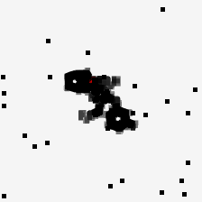 O=C(O)N1CC2CCC(C1)C2Nc1nc(Oc2cccc(F)c2)n(CC(F)(F)F)n1